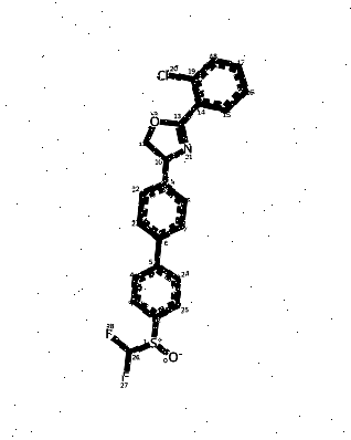 [O-][S+](c1ccc(-c2ccc(C3COC(c4ccccc4Cl)=N3)cc2)cc1)C(F)F